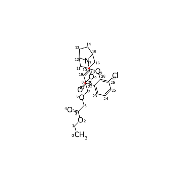 CCOC(=O)COCCOC1CC2CCC(C1)N2c1cc(=O)c2cccc(Cl)c2o1